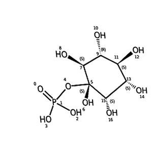 O=P(O)(O)O[C@]1(O)[C@@H](O)[C@H](O)[C@@H](O)[C@H](O)[C@@H]1O